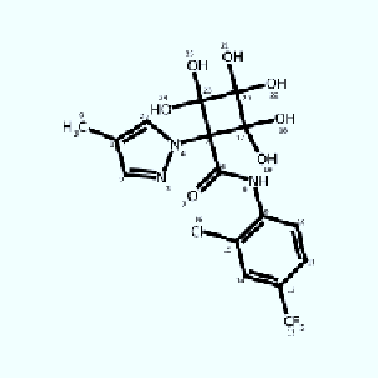 Cc1cnn(C2(C(=O)Nc3ccc(C(F)(F)F)cc3Cl)C(O)(O)C(O)(O)C2(O)O)c1